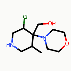 CC1CNCC(Cl)C1(CO)N1CCOCC1